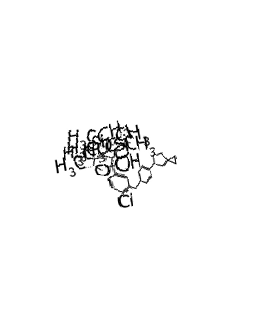 CC[C@H]1OC(O)(c2ccc(Cl)c(Cc3ccc(C4CCC5(CC5)C4)cc3)c2)[C@H](O[Si](C)(C)C)[C@@H](O[Si](C)(C)C)[C@@H]1C